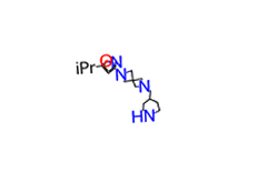 CC(C)c1cc(N2CC3(CN(CC4CCNCC4)C3)C2)no1